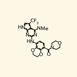 CNc1nc(Nc2ccc(C(=O)N3CCOCC3)c3c2OCCO3)nc2[nH]cc(C(F)(F)F)c12